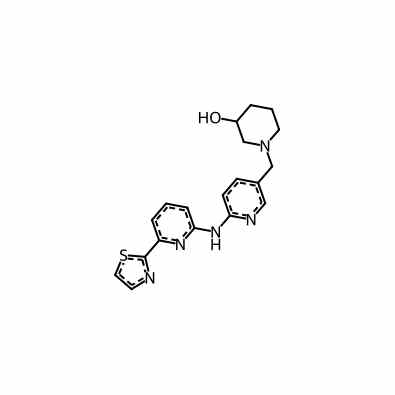 OC1CCCN(Cc2ccc(Nc3cccc(-c4nccs4)n3)nc2)C1